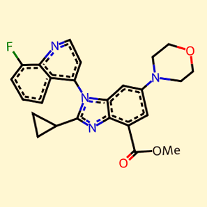 COC(=O)c1cc(N2CCOCC2)cc2c1nc(C1CC1)n2-c1ccnc2c(F)cccc12